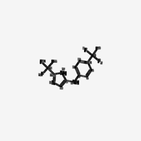 FC(F)(F)c1ccc(Nc2cnc(C(F)(F)F)[nH]2)cc1